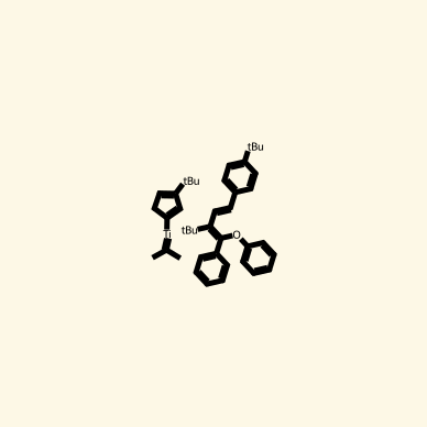 CC(C)(C)C(C=Cc1ccc(C(C)(C)C)cc1)=C(Oc1ccccc1)c1ccccc1.C[C](C)=[Ti][C]1=CC(C(C)(C)C)=CC1